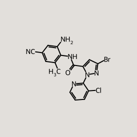 Cc1cc(C#N)cc(N)c1NC(=O)c1cc(Br)nn1-c1ncccc1Cl